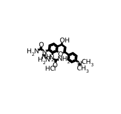 CN(C)c1ccc(C2=CC(O)c3ccc(N(N)C(N)=O)c(N(N)C(N)=O)c3O2)cc1.Cl